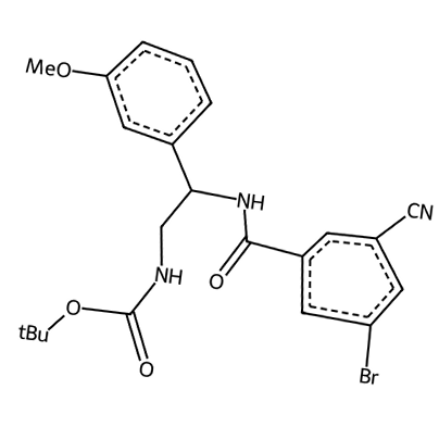 COc1cccc(C(CNC(=O)OC(C)(C)C)NC(=O)c2cc(Br)cc(C#N)c2)c1